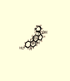 C[C@]12CC[C@H](O)C[C@@H]1CC[C@@H]1[C@@H]2CC[C@]2(C)[C@@](O)(c3ccnnc3)CC[C@]12O